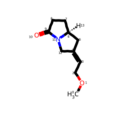 COCC=C1C[C@@H]2CCC(=O)N2C1